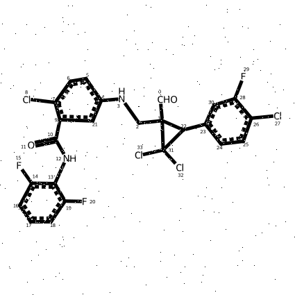 O=CC1(CNc2ccc(Cl)c(C(=O)Nc3c(F)cccc3F)c2)C(c2ccc(Cl)c(F)c2)C1(Cl)Cl